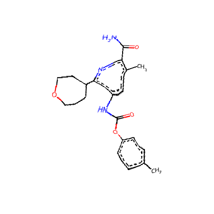 Cc1ccc(OC(=O)Nc2cc(C)c(C(N)=O)nc2C2CCOCC2)cc1